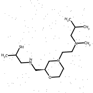 CC(C)CN(C)CCN1CCO[C@@H](CNCC(C)S)C1